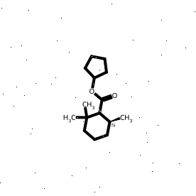 C[C@H]1CCCC(C)(C)C1C(=O)OC1CCCC1